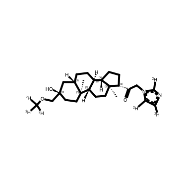 [2H]c1nc([2H])n(CC(=O)[C@H]2CC[C@H]3[C@@H]4CC[C@H]5C[C@@](O)(COC([2H])([2H])[2H])CC[C@]5(C)[C@H]4CC[C@]23C)c1[2H]